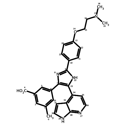 Cc1cc(C(=O)O)cc(-c2nc(-c3ccc(OCCN(C)C)cc3)[nH]c2-c2ccnc3[nH]ccc23)c1